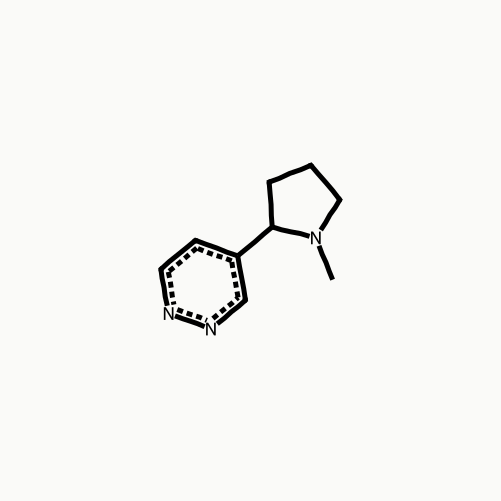 CN1CCCC1c1ccnnc1